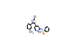 CCc1nc(-c2cccc(C)c2)c(-c2ccnc(N=S(=O)(CC)c3ccccc3)c2)s1